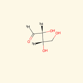 [2H]C(=O)[C@]([2H])(O)[C@@]([2H])(O)CO